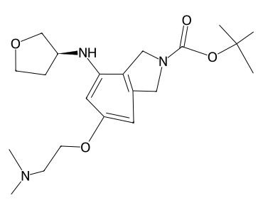 CN(C)CCOc1cc2c(c(N[C@H]3CCOC3)c1)CN(C(=O)OC(C)(C)C)C2